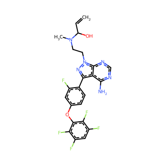 C=CC(O)N(C)CCn1nc(-c2ccc(Oc3c(F)c(F)cc(F)c3F)cc2F)c2c(N)ncnc21